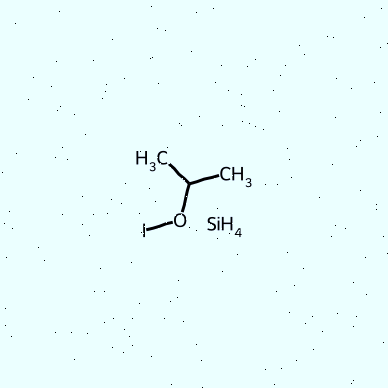 CC(C)OI.[SiH4]